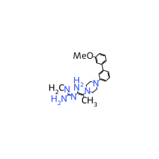 C=N/C(N)=N\C(N)=C(/C)N1CCN(c2cccc(-c3cccc(OC)c3)c2)CC1